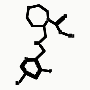 CC(C)(C)OC(=O)N1CCOCCC1CNCc1ncc(Br)cc1F